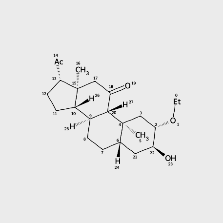 CCO[C@H]1C[C@@]2(C)[C@@H](CC[C@H]3[C@@H]4CC[C@H](C(C)=O)[C@@]4(C)CC(=O)[C@@H]32)C[C@@H]1O